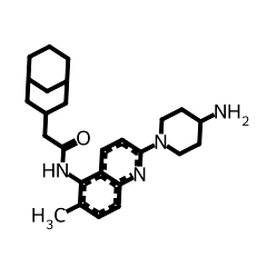 Cc1ccc2nc(N3CCC(N)CC3)ccc2c1NC(=O)CC1CC2CCCC(C2)C1